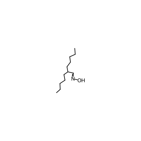 CCCCCC(C=NO)CCCCC